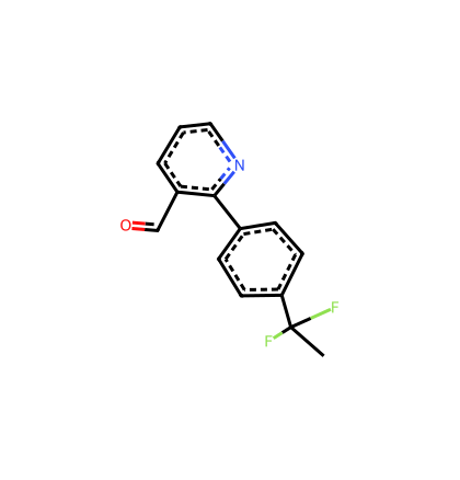 CC(F)(F)c1ccc(-c2ncccc2C=O)cc1